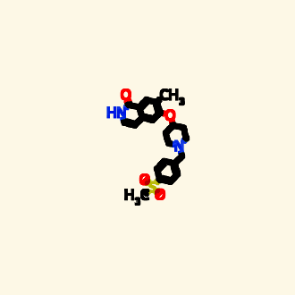 Cc1cc2c(=O)[nH]ccc2cc1OC1CCN(Cc2ccc(S(C)(=O)=O)cc2)CC1